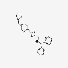 c1ccc(C(NC[C@H]2C[C@H](c3ccc(CN4CCCC4)cc3)C2)c2ccccn2)nc1